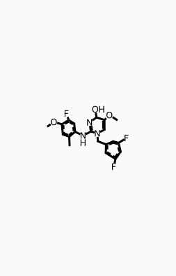 COC1=CN(Cc2cc(F)cc(F)c2)C(Nc2cc(F)c(OC)cc2C)=NC1O